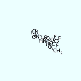 C=CCOC(=O)C[C@H](NC(=O)C1CCN(C(=O)c2ncccn2)CC1)C(=O)COc1c(C)c(F)cc(F)c1F